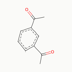 CC(=O)c1[c]ccc(C(C)=O)c1